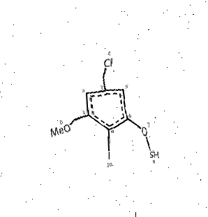 COc1cc(Cl)cc(OS)c1I